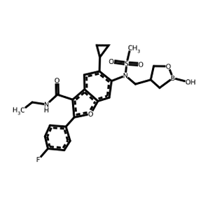 CCNC(=O)c1c(-c2ccc(F)cc2)oc2cc(N(CC3COB(O)C3)S(C)(=O)=O)c(C3CC3)cc12